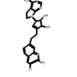 Nc1nc2cc(CCC3=CC(N4CCc5c(N)ncnc54)C(O)C3O)ccc2cc1Cl